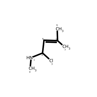 CNC(Cl)C=C(C)C